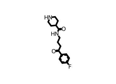 O=C(CCCNC(=O)C1CCNCC1)c1ccc(F)cc1